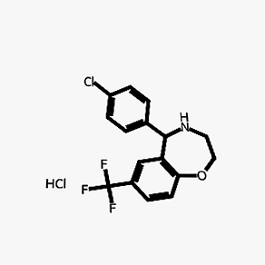 Cl.FC(F)(F)c1ccc2c(c1)C(c1ccc(Cl)cc1)NCCO2